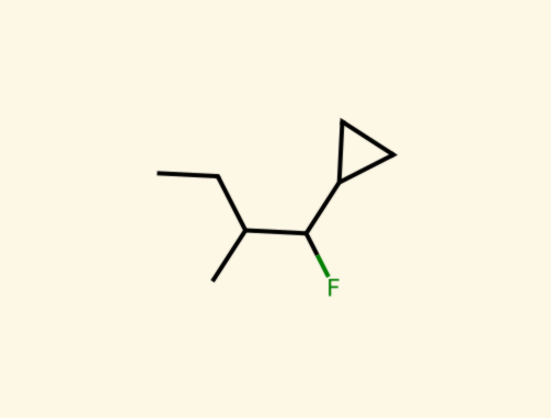 CCC(C)C(F)C1CC1